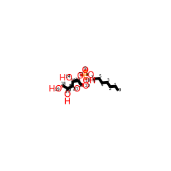 CCCCCCCOP(=O)(O)OC1=C(O)[C@@H]([C@@H](O)CO)OC1=O